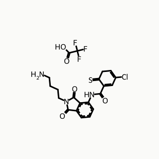 NCCCCN1C(=O)c2cccc(NC(=O)C3=CC(Cl)=CCC3=S)c2C1=O.O=C(O)C(F)(F)F